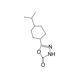 CC(C)C1CCC(c2n[nH]c(=O)o2)CC1